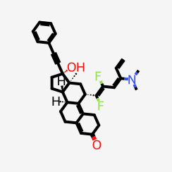 C=C/C(=C\C(F)=C(/F)[C@H]1C[C@@]2(C)[C@@H](CC[C@@]2(O)C#Cc2ccccc2)[C@@H]2CCC3=CC(=O)CCC3=C21)N(C)C